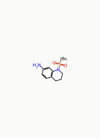 CC(C)(C)S(=O)(=O)N1CCCc2ccc(N)cc21